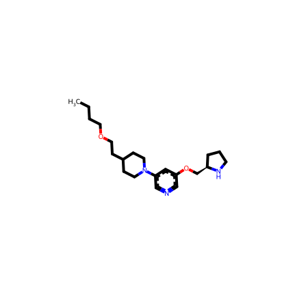 CCCCOCCC1CCN(c2cncc(OC[C@H]3CCCN3)c2)CC1